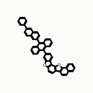 c1ccc(-c2ccc3cc(-c4c5ccccc5c(-c5ccc6c(c5)oc5ccc7c8ccc9ccccc9c8oc7c56)c5ccccc45)ccc3c2)cc1